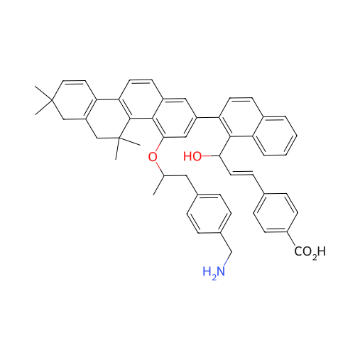 CC(Cc1ccc(CN)cc1)Oc1cc(-c2ccc3ccccc3c2C(O)C=Cc2ccc(C(=O)O)cc2)cc2ccc3c(c12)C(C)(C)CC1=C3C=CC(C)(C)C1